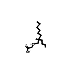 CCCCCCC(C)(CCCC)CNCC(=O)O